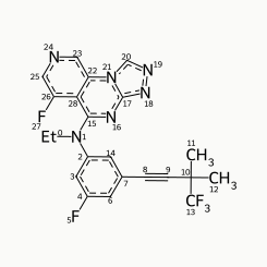 CCN(c1cc(F)cc(C#CC(C)(C)C(F)(F)F)c1)c1nc2nncn2c2cncc(F)c12